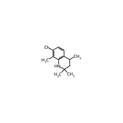 Cc1c(Cl)ccc2c1NC(C)(C)CC2C